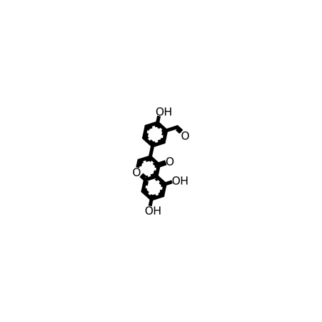 O=Cc1cc(-c2coc3cc(O)cc(O)c3c2=O)ccc1O